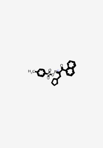 Cc1ccc(S(=O)(=O)O/N=C(\CC2CCCC2)C(=O)c2cccc3ccccc23)cc1